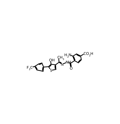 C/C(=N\NC(=O)c1ccc(C(=O)O)cc1N)c1csc(-c2ccc(C(F)(F)F)cc2)c1O